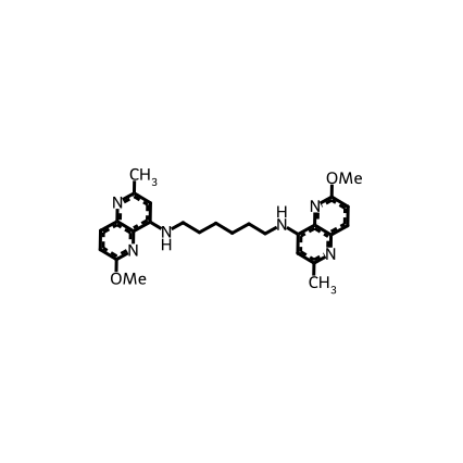 COc1ccc2nc(C)cc(NCCCCCCNc3cc(C)nc4ccc(OC)nc34)c2n1